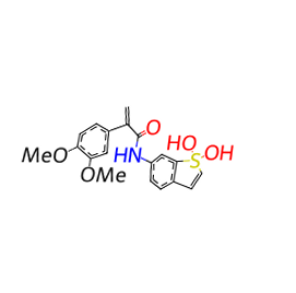 C=C(C(=O)Nc1ccc2c(c1)S(O)(O)C=C2)c1ccc(OC)c(OC)c1